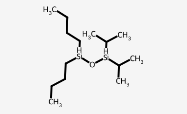 CCCC[SiH](CCCC)O[SiH](C(C)C)C(C)C